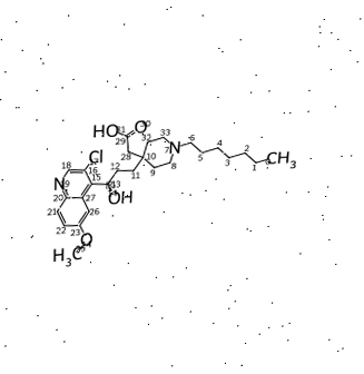 CCCCCCCN1CCC(CC[C@@H](O)c2c(Cl)cnc3ccc(OC)cc23)(CC(=O)O)CC1